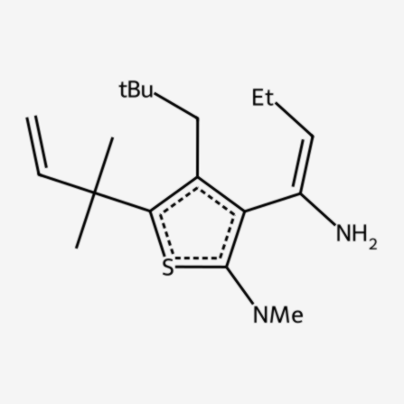 C=CC(C)(C)c1sc(NC)c(/C(N)=C\CC)c1CC(C)(C)C